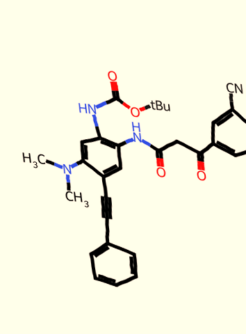 CN(C)c1cc(NC(=O)OC(C)(C)C)c(NC(=O)CC(=O)c2cccc(C#N)c2)cc1C#Cc1ccccc1